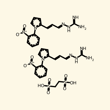 N=C(N)N/N=C/C=C/c1cccn1-c1ccccc1[N+](=O)[O-].N=C(N)N/N=C/C=C/c1cccn1-c1ccccc1[N+](=O)[O-].O=S(=O)(O)CCS(=O)(=O)O